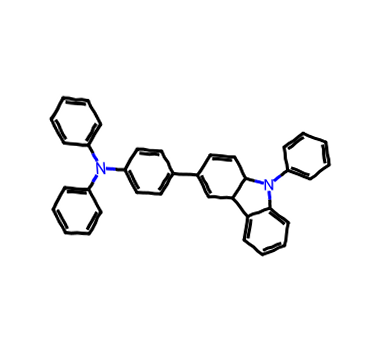 C1=CC2C(C=C1c1ccc(N(c3ccccc3)c3ccccc3)cc1)c1ccccc1N2c1ccccc1